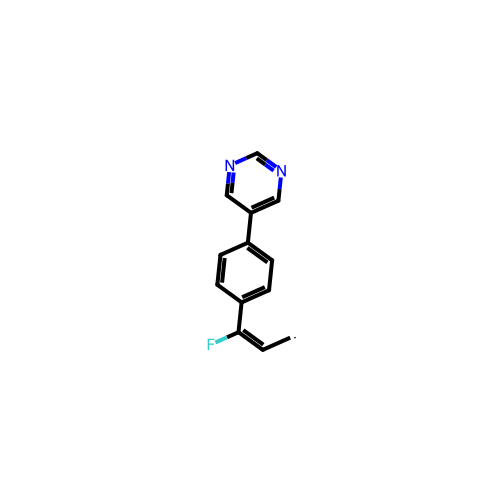 [CH2]/C=C(/F)c1ccc(-c2cncnc2)cc1